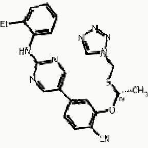 CCc1ccccc1Nc1ncc(-c2ccc(C#N)c(O[C@@H](C)SCn3cnnn3)c2)cn1